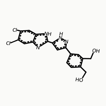 OCc1ccc(-c2cc(-c3nc4cc(Cl)c(Cl)cc4[nH]3)[nH]n2)cc1CO